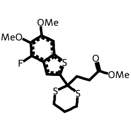 COC(=O)CCC1(c2cc3c(F)c(OC)c(OC)cc3s2)SCCCS1